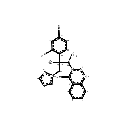 C[C@@H](n1nnc2ccccc2c1=O)[C@](O)(Cn1cncn1)c1ccc(F)cc1F